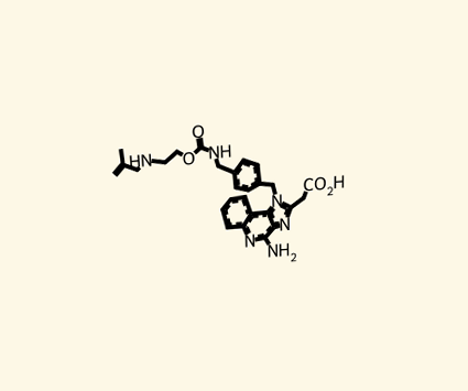 C=C(C)CNCCOC(=O)NCc1ccc(Cn2c(CC(=O)O)nc3c(N)nc4ccccc4c32)cc1